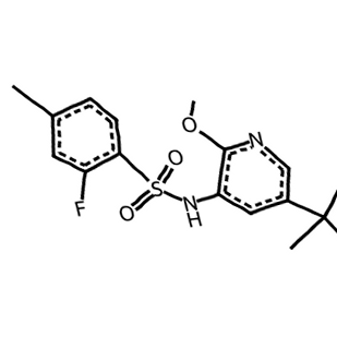 COc1ncc(C(C)(C)C)cc1NS(=O)(=O)c1ccc(C)cc1F